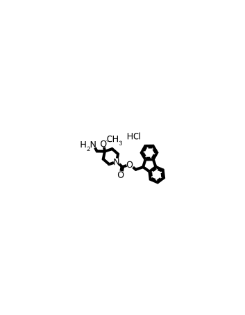 COC1(CN)CCN(C(=O)OCC2c3ccccc3-c3ccccc32)CC1.Cl